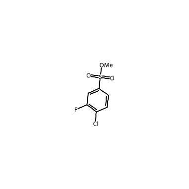 [CH2]OS(=O)(=O)c1ccc(Cl)c(F)c1